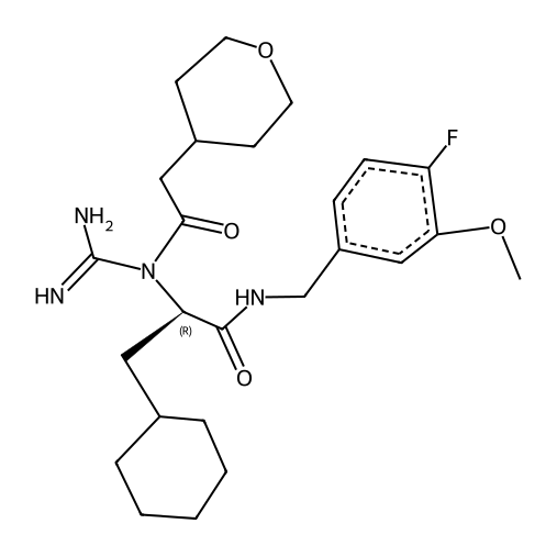 COc1cc(CNC(=O)[C@@H](CC2CCCCC2)N(C(=N)N)C(=O)CC2CCOCC2)ccc1F